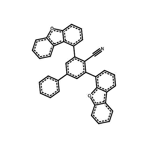 N#Cc1c(-c2cccc3c2oc2ccccc23)cc(-c2ccccc2)cc1-c1cccc2oc3ccccc3c12